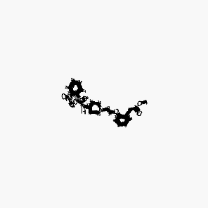 COC(=O)Cc1ccccc1OCCN1CCC(NS(=O)(=O)c2ccccc2[N+](=O)[O-])CC1